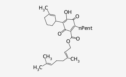 CCCCCC1=C(C(=O)OC/C=C(\C)CCC=C(C)C)C(=O)C(C2C=C(C)CCC2)=C(O)C1=O